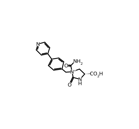 NC(=O)[N+]1(Cc2ccc(-c3ccncc3)cc2)C[C@H](C(=O)O)NC1=O